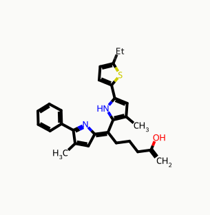 C=C(O)CCC/C(=C1\C=C(C)C(c2ccccc2)=N1)c1[nH]c(-c2ccc(CC)s2)cc1C